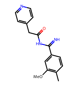 COc1cc(C(=N)NC(=O)Cc2ccncc2)ccc1C